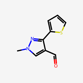 Cn1cc(C=O)c(-c2cccs2)n1